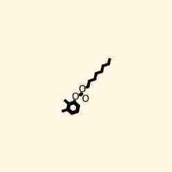 CCCCCCCCOC(=O)Oc1cccc(C)c1C